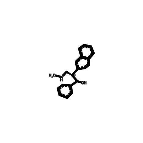 CNC[C@@H](c1ccc2ccccc2c1)C(O)c1ccccc1